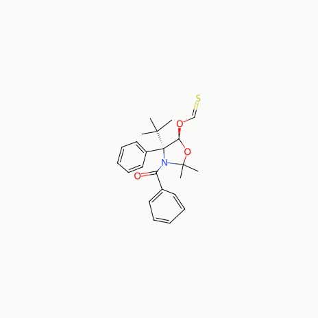 CC1(C)O[C@H](OC=S)[C@@](c2ccccc2)(C(C)(C)C)N1C(=O)c1ccccc1